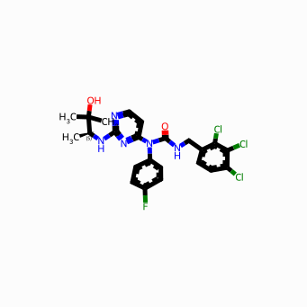 C[C@H](Nc1nccc(N(C(=O)NCc2ccc(Cl)c(Cl)c2Cl)c2ccc(F)cc2)n1)C(C)(C)O